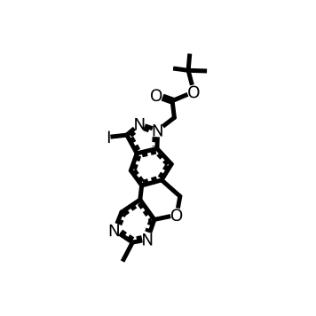 Cc1ncc2c(n1)OCc1cc3c(cc1-2)c(I)nn3CC(=O)OC(C)(C)C